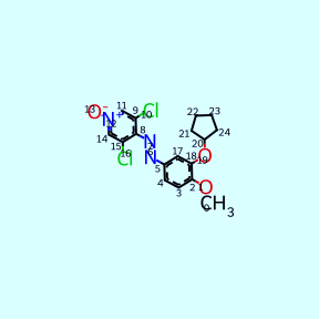 COc1ccc(/N=N/c2c(Cl)c[n+]([O-])cc2Cl)cc1OC1CCCC1